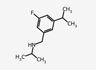 CC(C)NCc1cc(F)cc(C(C)C)c1